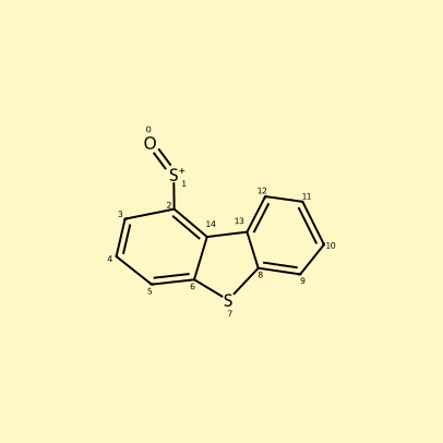 O=[S+]c1cccc2sc3ccccc3c12